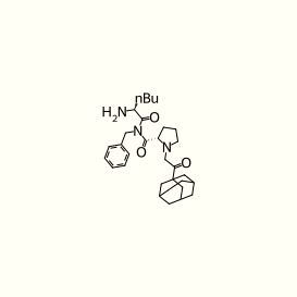 CCCC[C@H](N)C(=O)N(Cc1ccccc1)C(=O)[C@@H]1CCCN1CC(=O)C12CC3CC(CC(C3)C1)C2